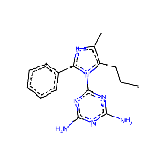 CCCc1c(C)nc(-c2ccccc2)n1-c1nc(N)nc(N)n1